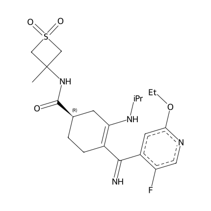 CCOc1cc(C(=N)C2=C(NC(C)C)C[C@H](C(=O)NC3(C)CS(=O)(=O)C3)CC2)c(F)cn1